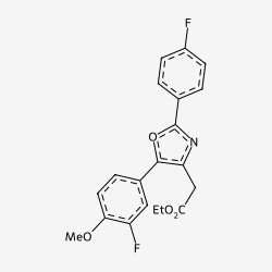 CCOC(=O)Cc1nc(-c2ccc(F)cc2)oc1-c1ccc(OC)c(F)c1